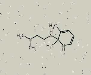 CC1=CC=CNC1(C)NCCN(C)C